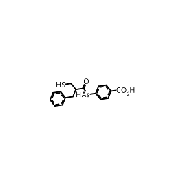 O=C(O)c1ccc([AsH]C(=O)C(CS)Cc2ccccc2)cc1